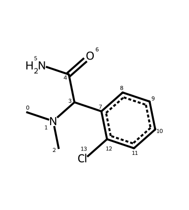 CN(C)C(C(N)=O)c1ccccc1Cl